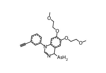 C#Cc1cccc(N2C=NC([AsH2])c3cc(OCCOC)c(OCCOC)cc32)c1